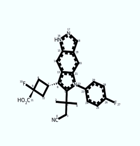 CC(C)(CC#N)c1c([C@H]2C[C@](F)(C(=O)O)C2)c2cc3[nH]ncc3cc2n1-c1ccc(F)cc1